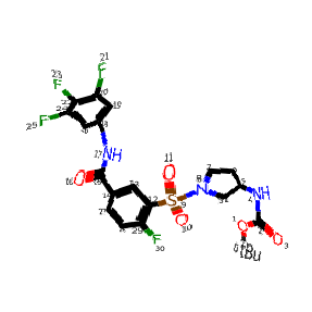 CC(C)(C)OC(=O)NC1CCN(S(=O)(=O)c2cc(C(=O)Nc3cc(F)c(F)c(F)c3)ccc2F)C1